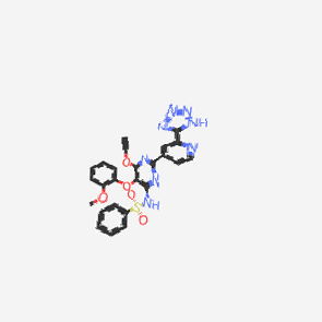 C#COc1nc(-c2ccnc(-c3nnn[nH]3)c2)nc(NS(=O)(=O)c2ccccc2)c1Oc1ccccc1OC